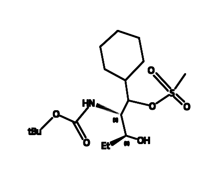 CC[C@H](O)[C@H](NC(=O)OC(C)(C)C)C(OS(C)(=O)=O)C1CCCCC1